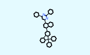 c1ccc(-c2cc(-c3ccc(-c4ccc5c(c4)-c4ccccc4C5(c4ccccc4)c4ccccc4)c4ccccc34)nc(-c3ccccc3)n2)cc1